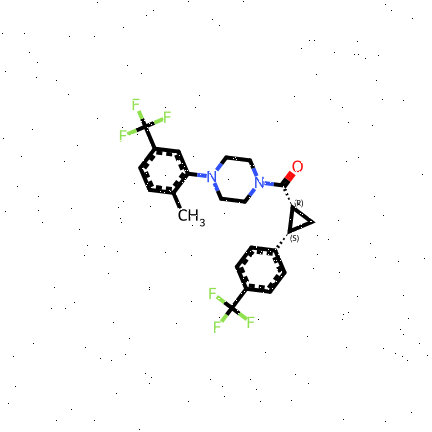 Cc1ccc(C(F)(F)F)cc1N1CCN(C(=O)[C@@H]2C[C@@H]2c2ccc(C(F)(F)F)cc2)CC1